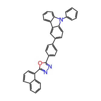 c1ccc(-n2c3ccccc3c3cc(-c4ccc(-c5nnc(-c6cccc7ccccc67)o5)cc4)ccc32)cc1